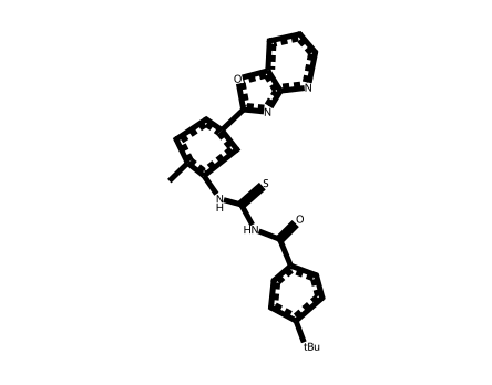 Cc1ccc(-c2nc3ncccc3o2)cc1NC(=S)NC(=O)c1ccc(C(C)(C)C)cc1